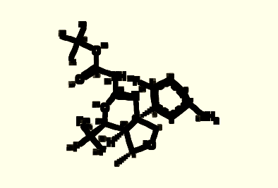 C[C@H]1OC[C@]2(c3cc(N)ccc3F)N=C(NC(=O)OC(C)(C)C)O[C@H](C(F)(F)F)[C@H]12